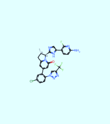 C[C@H]1Cc2cc(-c3cc(Cl)ccc3-n3cc(C(F)(F)F)nn3)cc(=O)n2[C@@H]1c1ncc(-c2ccc(N)nc2F)[nH]1